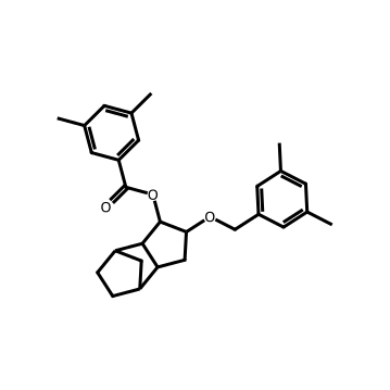 Cc1cc(C)cc(COC2CC3C4CCC(C4)C3C2OC(=O)c2cc(C)cc(C)c2)c1